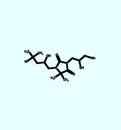 CCC(C)CC(O)CN1C(=O)N(CC(O)CC(C)(C)CC)C(C)(C)C1=O